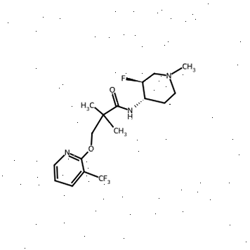 CN1CC[C@H](NC(=O)C(C)(C)COc2ncccc2C(F)(F)F)[C@@H](F)C1